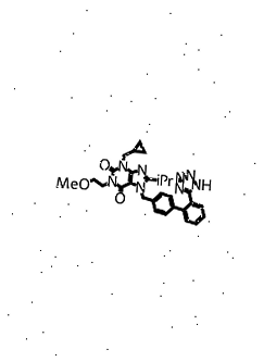 COCCn1c(=O)c2c(nc(C(C)C)n2Cc2ccc(-c3ccccc3-c3nnn[nH]3)cc2)n(CC2CC2)c1=O